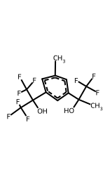 Cc1cc(C(C)(O)C(F)(F)F)cc(C(O)(C(F)(F)F)C(F)(F)F)c1